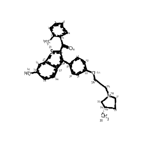 Cc1ccccc1C(=O)c1sc2cc(O)ccc2c1-c1ccc(OCCN2CC[C@H](C)C2)cc1